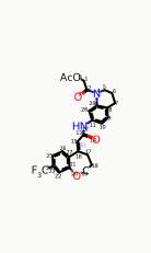 CC(=O)OCC(=O)N1CCCc2ccc(NC(=O)/C=C3\CCCOc4cc(C(F)(F)F)ccc43)cc21